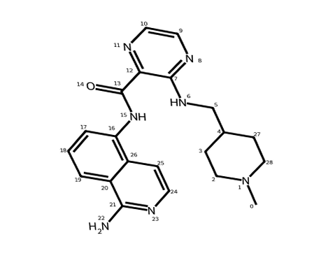 CN1CCC(CNc2nccnc2C(=O)Nc2cccc3c(N)nccc23)CC1